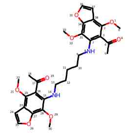 COc1c(C(C)=O)c(NCCCCCNc2c(C(C)=O)c(OC)c3ccoc3c2OC)c(OC)c2occc12